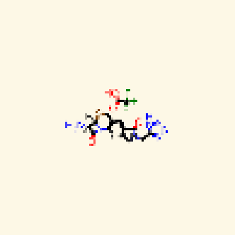 N[C@@H]1C(=O)N2C(C(=O)O)=C(C=C3CCN(Cc4nnn[nH]4)C3=O)CS[C@H]12.O=C(O)C(F)(F)F